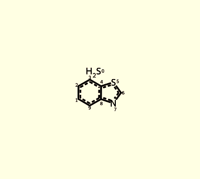 S.c1ccc2scnc2c1